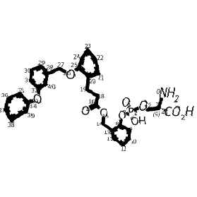 N[C@@H](COP(=O)(O)Oc1ccccc1COC(=O)CCc1ccccc1OCc1cccc(Oc2ccccc2)c1)C(=O)O